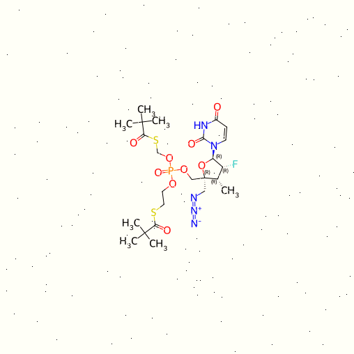 C[C@H]1[C@@H](F)[C@H](n2ccc(=O)[nH]c2=O)O[C@]1(CN=[N+]=[N-])COP(=O)(OCCSC(=O)C(C)(C)C)OCSC(=O)C(C)(C)C